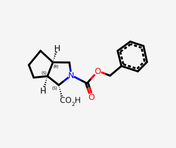 O=C(O)[C@@H]1[C@H]2CCC[C@H]2CN1C(=O)OCc1ccccc1